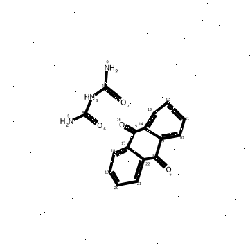 NC(=O)NC(N)=O.O=C1c2ccccc2C(=O)c2ccccc21